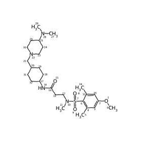 COc1cc(C)c(S(=O)(=O)N(C)CCC(=O)NC2CCC(CN3CCC(N(C)C)CC3)CC2)c(C)c1